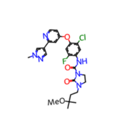 COC(C)(C)CCN1CCN(C(=O)Nc2cc(Cl)c(Oc3ccnc(-c4cnn(C)c4)c3)cc2F)C1=O